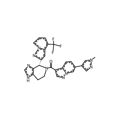 Cn1cc(-c2ccc3c(C(=O)N4CCc5[nH]cnc5[C@@H]4c4cc5c(C(F)(F)F)cccn5n4)cnn3c2)cn1